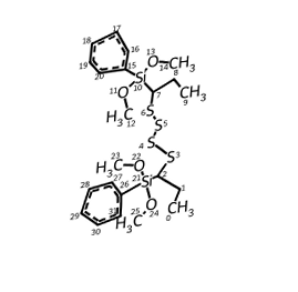 CCC(SSSSC(CC)[Si](OC)(OC)c1ccccc1)[Si](OC)(OC)c1ccccc1